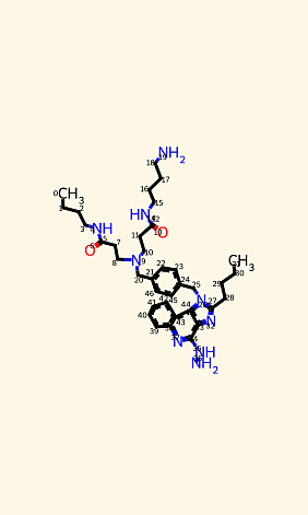 CCCCNC(=O)CCN(CCC(=O)NCCCCN)Cc1ccc(Cn2c(CCCC)nc3c(NN)nc4ccccc4c32)cc1